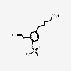 C=CCc1cc(CCCCC(=O)O)ccc1OS(=O)(=O)C(F)(F)F